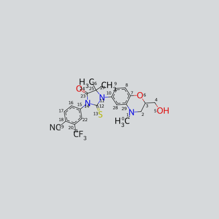 CN1CC(CO)Oc2ccc(N3C(=S)N(c4ccc(C#N)c(C(F)(F)F)c4)C(=O)C3(C)C)cc21